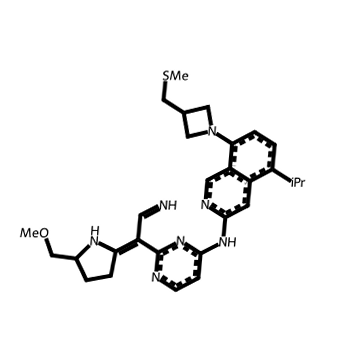 COCC1CC/C(=C(/C=N)c2nccc(Nc3cc4c(C(C)C)ccc(N5CC(CSC)C5)c4cn3)n2)N1